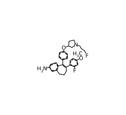 COc1ccc(C2=C(c3ccc(OC4CCN(CCCF)C4)cc3)c3ccc(N)cc3CCC2)c(F)c1